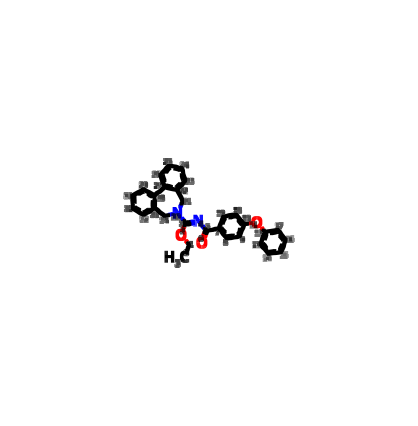 CCO/C(=N\C(=O)c1ccc(Oc2ccccc2)cc1)N1Cc2ccccc2-c2ccccc2C1